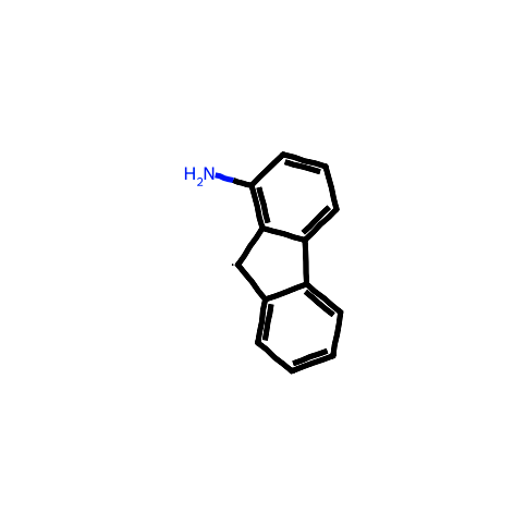 Nc1cccc2c1[CH]c1ccccc1-2